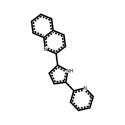 c1ccc(-c2ccc(-c3ccc4ccccc4n3)[nH]2)nc1